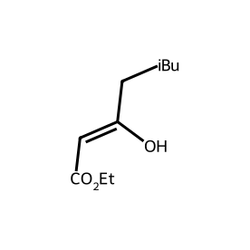 CCOC(=O)/C=C(\O)CC(C)CC